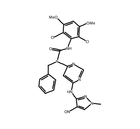 COc1cc(OC)c(Cl)c(NC(=O)N(Cc2ccccc2)c2cc(Nc3nn(C)cc3N=O)ncn2)c1Cl